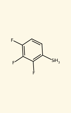 Fc1ccc([SiH3])c(F)c1F